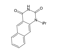 CC(C)n1c(=O)[nH]c(=O)c2cc3ccccc3cc21